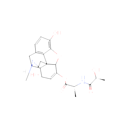 C[C@H](O)C(=O)N[C@@H](C)C(=O)OC1=CC[C@@]2(O)[C@H]3Cc4ccc(O)c5c4C2(CCN3C)C1O5